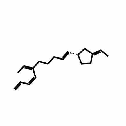 C=C/C=C\C(=C/C)CCC/C=C/[C@H]1CC/C(=C\C)C1